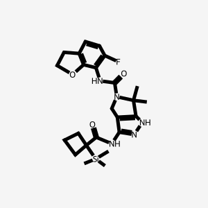 CC1(C)c2[nH]nc(NC(=O)C3([Si](C)(C)C)CCC3)c2CN1C(=O)Nc1c(F)ccc2c1OCC2